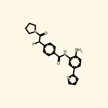 Nc1ccc(-c2cccs2)cc1NC(=O)c1ccc(C(F)C(=O)N2CCCC2)cc1